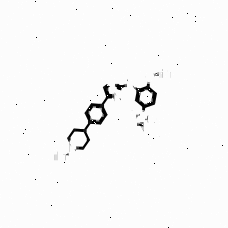 CC(C)Oc1ccc(S(N)(=O)=O)cc1Nc1nc(-c2ccc(C3CCN(C(C)C)CC3)cc2)cs1